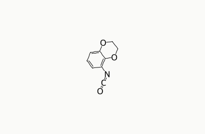 O=C=Nc1cccc2c1OCCO2